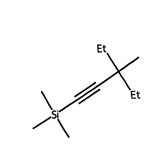 CCC(C)(C#C[Si](C)(C)C)CC